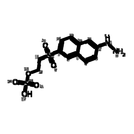 NNc1ccc2cc(S(=O)(=O)CCOS(=O)(=O)O)ccc2c1